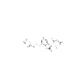 Cn1c(=O)n(C2CCC(=O)NC2=O)c2cccc(CCCN3CCNCC3)c21